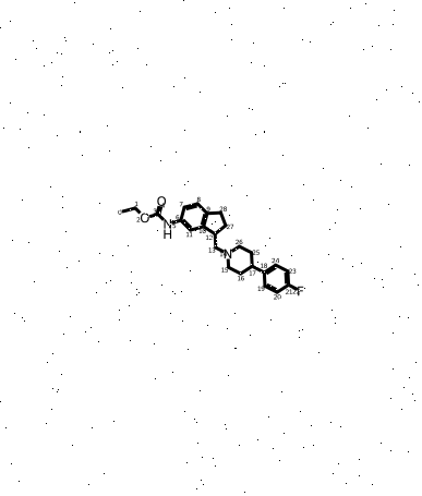 CCOC(=O)Nc1ccc2c(c1)C(CN1CCC(c3ccc(F)cc3)CC1)CC2